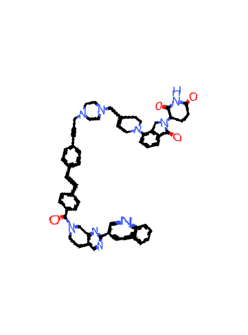 O=C1CCC(N2Cc3c(cccc3N3CCC(CN4CCN(CC#Cc5ccc(/C=C/c6ccc(C(=O)N7CCc8cnc(-c9cnc%10ccccc%10c9)nc8C7)cc6)cc5)CC4)CC3)C2=O)C(=O)N1